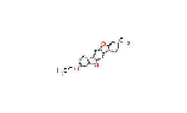 CCOc1ccc2c(c1)oc1cc3c(cc12)oc1cc(C)ccc13